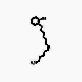 NCCCC/C=C\CCCCCSc1ccccc1O